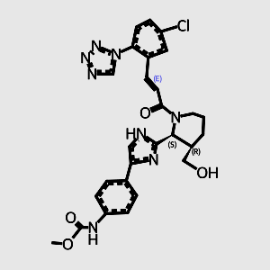 COC(=O)Nc1ccc(-c2c[nH]c([C@@H]3[C@H](CO)CCCN3C(=O)/C=C/c3cc(Cl)ccc3-n3cnnn3)n2)cc1